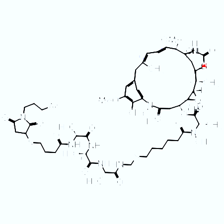 COc1cc2cc(c1Cl)N(C)C(=O)C[C@H](OC(=O)[C@H](C)N(C)C(=O)CCCCCSCNC(=O)[C@H](C)NC(=O)[C@@H](C)NC(=O)[C@H](C)NC(=O)CCCSC1CC(=O)N(CCCC(C)=O)C1=O)[C@]1(C)O[C@H]1[C@H](C)[C@@H]1C[C@@](O)(NC(=O)O1)[C@H](OC)/C=C/C=C(\C)C2